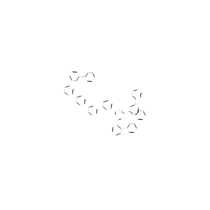 c1ccc(-c2cccc(-c3nc(-c4cccc(-c5cccc(-c6ccc(-c7cccc8c7sc7c(-c9ccccc9)cccc78)cc6)c5)c4)nc(-c4cccc5oc6ccc(-c7ccccc7)cc6c45)n3)c2)cc1